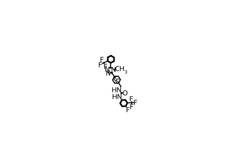 Cn1c(-c2ccccc2C(F)(F)F)nnc1C12CCC(CNC(=O)Nc3ccc(F)c(C(F)(F)F)c3)(CC1)CC2